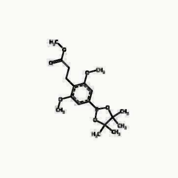 COC(=O)CCc1c(OC)cc(B2OC(C)(C)C(C)(C)O2)cc1OC